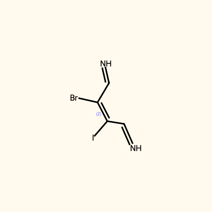 N=C/C(Br)=C(/I)C=N